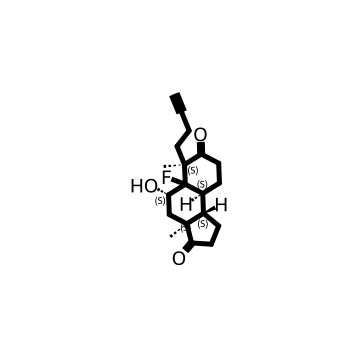 C#CCC[C@@]1(C)C(=O)CC[C@H]2[C@@H]3CCC(=O)[C@@]3(C)C[C@H](O)C21F